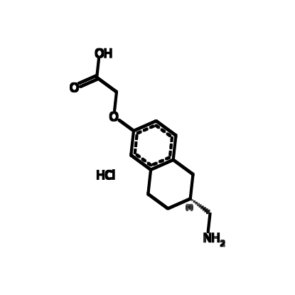 Cl.NC[C@@H]1CCc2cc(OCC(=O)O)ccc2C1